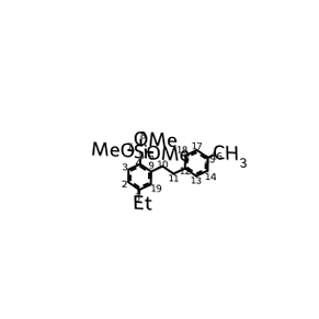 CCc1ccc([Si](OC)(OC)OC)c(CCc2ccc(C)cc2)c1